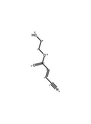 N#CC=CC(=O)OCCO